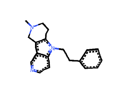 CN1CCc2c(c3cnccc3n2CCc2ccccc2)C1